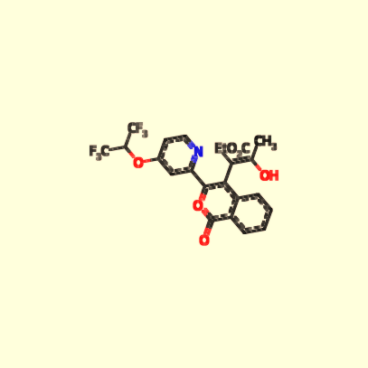 CCOC(=O)/C(=C(\C)O)c1c(-c2cc(OC(C(F)(F)F)C(F)(F)F)ccn2)oc(=O)c2ccccc12